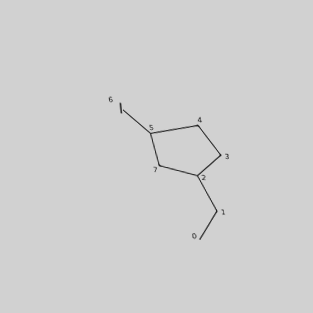 CCC1CCC(I)C1